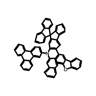 c1ccc2c(c1)-c1ccccc1C21c2ccccc2-c2cc(-c3ccc4oc5ccccc5c4c3)c(N(c3ccc4ccccc4c3)c3ccc4c5ccccc5c5ccccc5c4c3)cc21